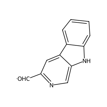 O=[C]c1cc2c(cn1)[nH]c1ccccc12